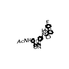 CC(=O)Nc1cccc(-c2coc3ncnc(Oc4ccc(NC(=O)c5cccn(-c6ccc(F)cc6)c5=O)cc4)c23)c1